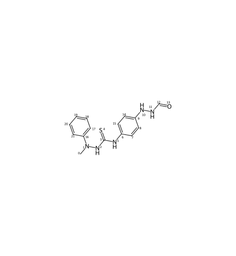 CN(NC(=S)Nc1ccc(NNC=O)cc1)c1ccccc1